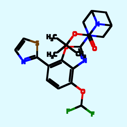 CC(C)(C)OC(=O)N1C2CC1CN(c1nc3c(OC(F)F)ccc(-c4nccs4)c3o1)C2